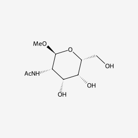 CO[C@H]1O[C@H](CO)[C@H](O)[C@H](O)[C@@H]1NC(C)=O